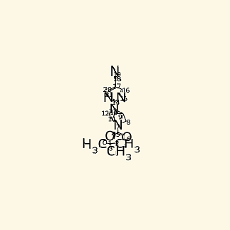 CC(C)(C)OC(=O)N1CC2CC1CN2c1ncc(C#N)cn1